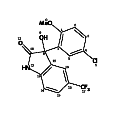 COc1ccc(Cl)cc1C1(O)C(=O)Nc2ccc(C(F)(F)F)cc21